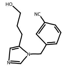 N#Cc1cccc(Cn2cncc2CCCO)c1